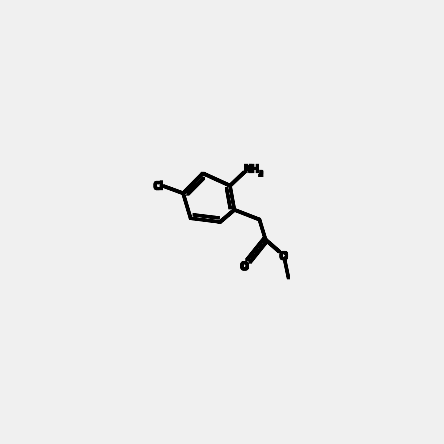 COC(=O)Cc1ccc(Cl)cc1N